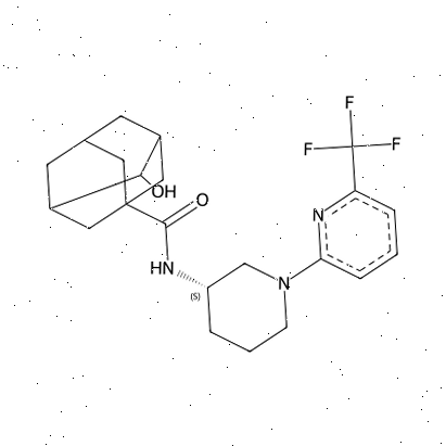 O=C(N[C@H]1CCCN(c2cccc(C(F)(F)F)n2)C1)C12CC3CC(C1)C(O)C(C3)C2